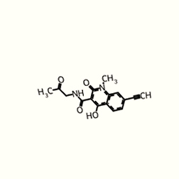 C#Cc1ccc2c(O)c(C(=O)NCC(C)=O)c(=O)n(C)c2c1